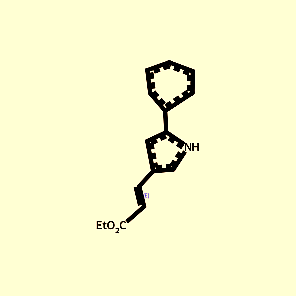 CCOC(=O)/C=C/c1c[nH]c(-c2ccccc2)c1